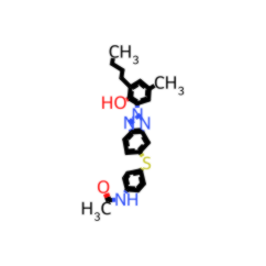 CCCCc1cc(C)cc(-n2nc3ccc(Sc4ccc(NC(C)=O)cc4)cc3n2)c1O